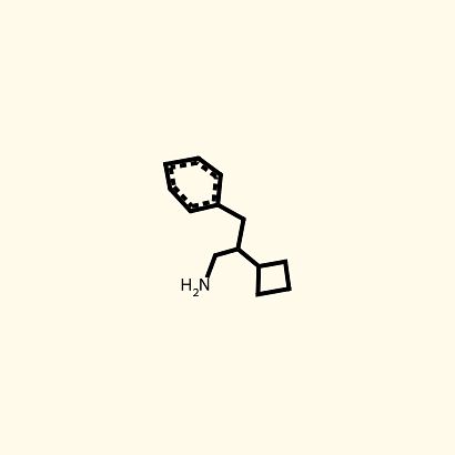 NCC(Cc1ccccc1)C1CCC1